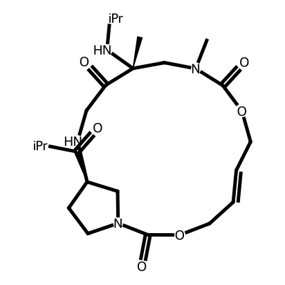 CC(C)N[C@]1(C)CN(C)C(=O)OC/C=C/COC(=O)N2CC[C@@](C(=O)C(C)C)(C2)NCC1=O